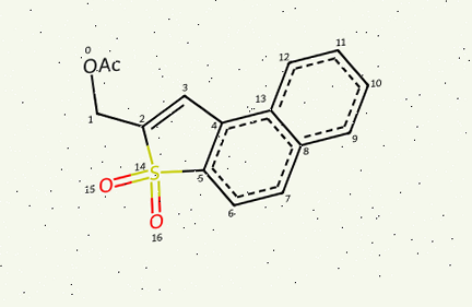 CC(=O)OCC1=Cc2c(ccc3ccccc23)S1(=O)=O